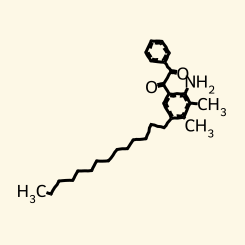 CCCCCCCCCCCCCCc1cc(C(=O)C(=O)c2ccccc2)c(N)c(C)c1C